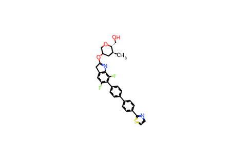 C[C@H]1C[C@@H](OC2=Nc3c(cc(F)c(-c4ccc(-c5ccc(-c6nccs6)cc5)cc4)c3F)C2)CO[C@@H]1CO